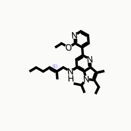 CCC/C=C(\C)CNc1cc(-c2cccnc2OCC)nc2c(C)c(CC)n(C(C)C)c12